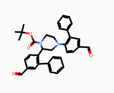 CC(C)(C)OC(=O)N1CCN(c2ccc(C=O)cc2-c2ccccc2)CC1c1ccc(C=O)cc1-c1ccccc1